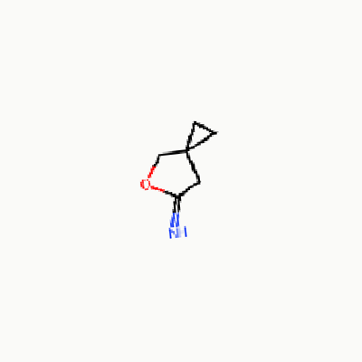 N=C1CC2(CC2)CO1